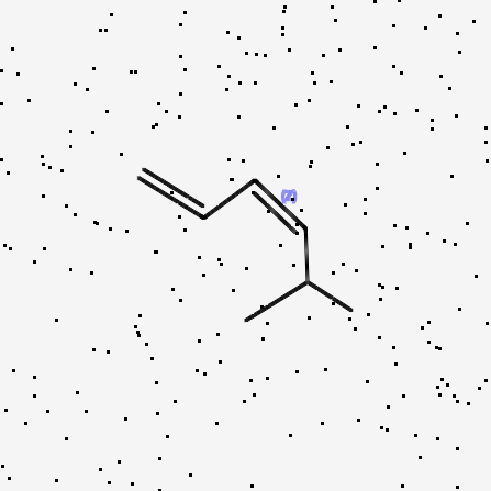 C=C/C=C\C(C)C